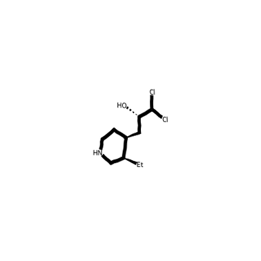 CC[C@H]1CNCC[C@H]1C[C@H](O)C(Cl)Cl